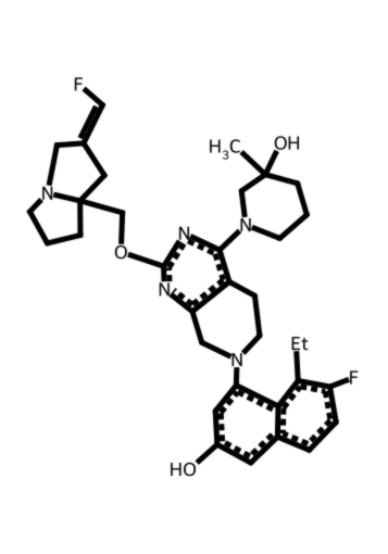 CCc1c(F)ccc2cc(O)cc(N3CCc4c(nc(OCC56CCCN5C/C(=C\F)C6)nc4N4CCCC(C)(O)C4)C3)c12